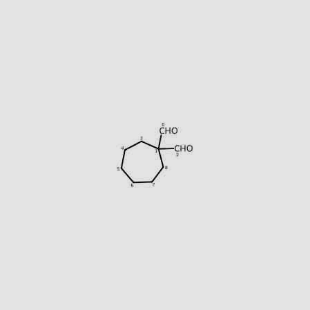 O=CC1(C=O)CCCCCC1